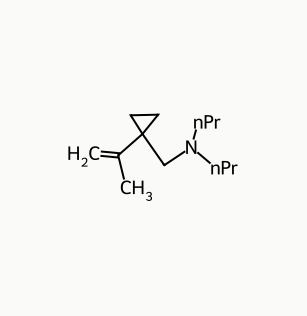 C=C(C)C1(CN(CCC)CCC)CC1